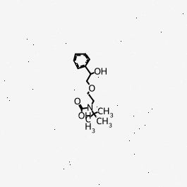 CC(C)(C)N(CCOCC(O)c1ccccc1)C(=O)O